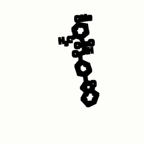 COc1ccc(S(=O)(=O)NC(=O)c2ccc(-c3cc4ccccc4o3)cc2)c(C)c1